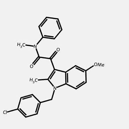 COc1ccc2c(c1)c(C(=O)C(=O)N(C)c1ccccc1)c(C)n2Cc1ccc(Cl)cc1